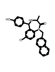 CC1NC(c2ccc(O)cc2)c2cc(Cl)ccc2N(Cc2ccc3ccccc3c2)C1=O